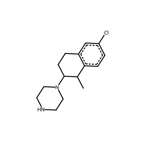 CC1c2ccc(Cl)cc2CCC1N1CCNCC1